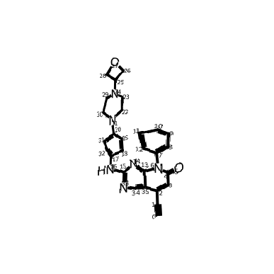 C#Cc1cc(=O)n(-c2ccccc2)c2nc(Nc3ccc(N4CCN(C5COC5)CC4)cc3)ncc12